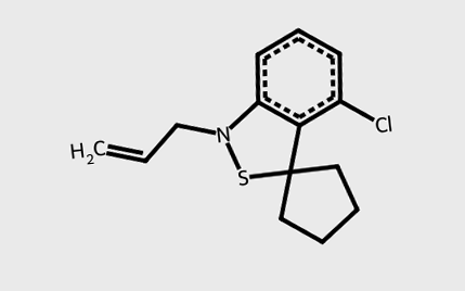 C=CCN1SC2(CCCC2)c2c(Cl)cccc21